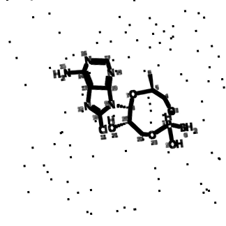 B[PH]1(O)OC[C@H](C)O[C@@H](n2c(Cl)nc3c(N)ncnc32)[C@@H](O)CO1